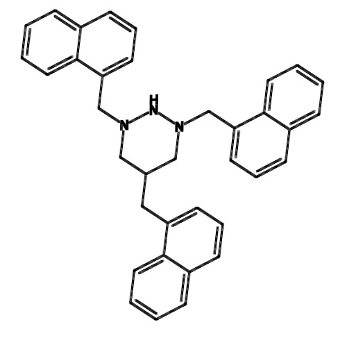 c1ccc2c(CC3CN(Cc4cccc5ccccc45)NN(Cc4cccc5ccccc45)C3)cccc2c1